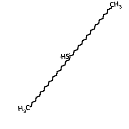 CCCCCCCCCCCCCCCCCCCC[SiH]CCCCCCCCCCCCCCCCCCCC